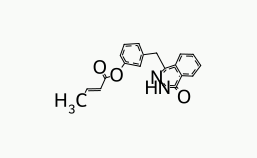 C/C=C/C(=O)Oc1cccc(Cc2n[nH]c(=O)c3ccccc23)c1